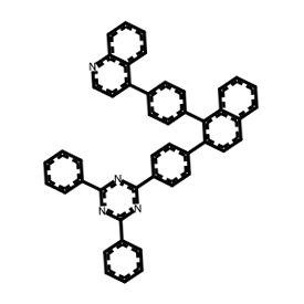 c1ccc(-c2nc(-c3ccccc3)nc(-c3ccc(-c4ccc5ccccc5c4-c4ccc(-c5ccnc6ccccc56)cc4)cc3)n2)cc1